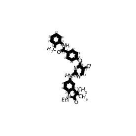 CCN1C(=O)C(C)(C)c2cc(Nc3ncc(Cl)c(Oc4ccc(C(=O)Nc5ccccc5C)cc4)n3)ccc21